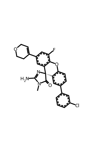 CN1C(=O)[C@]2(N=C1N)c1cc(-c3cccc(Cl)c3)ccc1Oc1c(F)cc(C3=CCOCC3)cc12